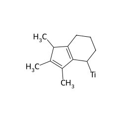 CC1=C(C)C(C)C2=C1[CH]([Ti])CCC2